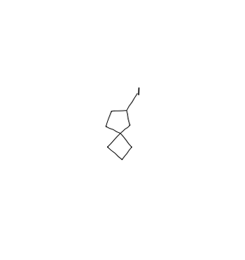 IC1CCC2(CCC2)C1